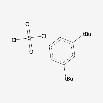 CC(C)(C)c1cccc(C(C)(C)C)c1.O=S(=O)(Cl)Cl